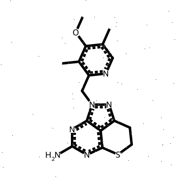 COc1c(C)cnc(Cn2nc3c4c(nc(N)nc42)SCC3)c1C